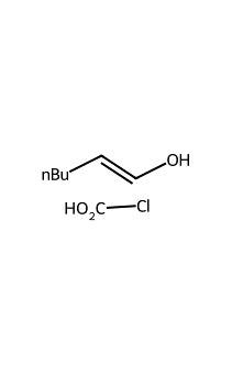 CCCCC=CO.O=C(O)Cl